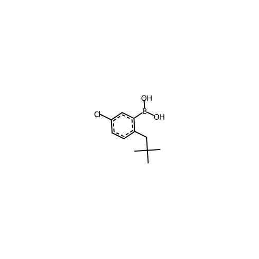 CC(C)(C)Cc1ccc(Cl)cc1B(O)O